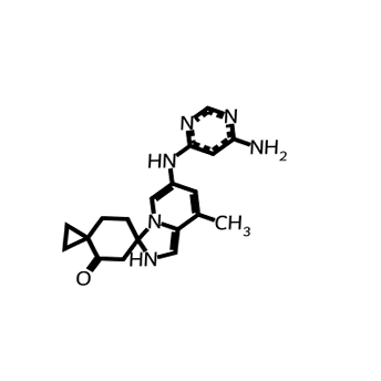 CC1=CC(Nc2cc(N)ncn2)=CN2C1=CNC21CCC2(CC2)C(=O)C1